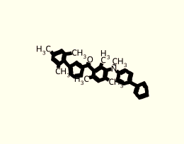 Cc1cc(C)c(-c2cccc(C(=O)c3c(C)cc(C)c(N(C)c4ccc(-c5ccccc5)cc4)c3C)c2)c(C)c1